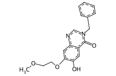 COCCOc1cc2ncn(Cc3ccccc3)c(=O)c2cc1O